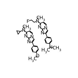 CN(C)c1ccc(-c2cn3ccc(N(C)CCF)nc3n2)cc1.COc1ccc(-c2cn3ccc(N(C)C4CC4)nc3n2)cc1